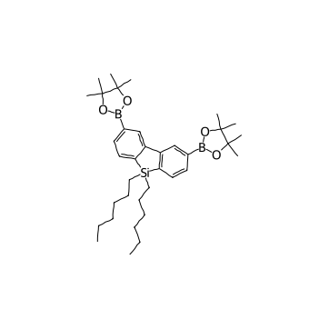 CCCCCC[Si]1(CCCCCC)c2ccc(B3OC(C)(C)C(C)(C)O3)cc2-c2cc(B3OC(C)(C)C(C)(C)O3)ccc21